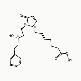 CC(C)OC(=O)CCCC=CC[C@H]1C=CC(=O)[C@@H]1CC[C@@H](O)CCc1ccccc1